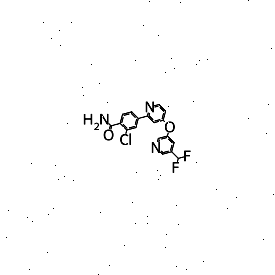 NC(=O)c1ccc(-c2cc(Oc3cncc(C(F)F)c3)ccn2)cc1Cl